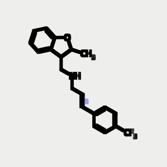 CC1Oc2ccccc2C1CNC/C=C/c1ccc(C(F)(F)F)cc1